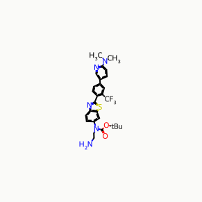 CN(C)c1ccc(-c2ccc(-c3nc4ccc(N(CCN)C(=O)OC(C)(C)C)cc4s3)c(C(F)(F)F)c2)cn1